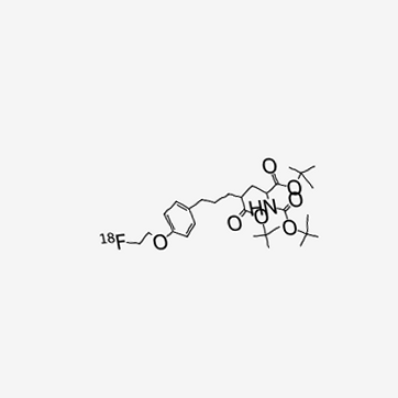 CC(C)(C)OC(=O)NC(CC(CCCc1ccc(OCC[18F])cc1)C(=O)OC(C)(C)C)C(=O)OC(C)(C)C